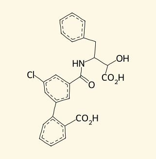 O=C(NC(Cc1ccccc1)C(O)C(=O)O)c1cc(Cl)cc(-c2ccccc2C(=O)O)c1